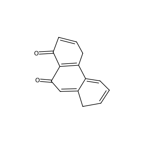 O=C1C=CCC2=C1C(=O)C=C1CC=CC=C12